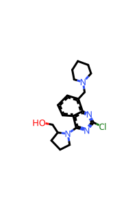 OCC1CCCN1c1nc(Cl)nc2c(CN3CCCCC3)cccc12